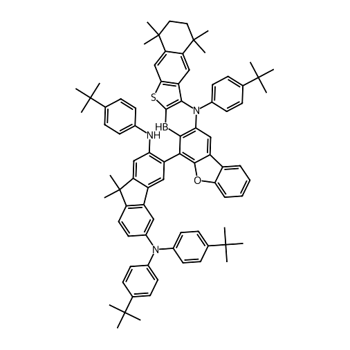 CC(C)(C)c1ccc(Nc2cc3c(cc2-c2c4c(cc5c2oc2ccccc25)N(c2ccc(C(C)(C)C)cc2)c2c(sc5cc6c(cc25)C(C)(C)CCC6(C)C)B4)-c2cc(N(c4ccc(C(C)(C)C)cc4)c4ccc(C(C)(C)C)cc4)ccc2C3(C)C)cc1